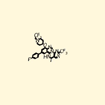 C[C@@H](Nc1ncnc2c(OC3CCN(CC(F)(F)F)CC3)cc(-c3ccc(F)cc3)cc12)c1cnc(C(F)(F)F)nc1